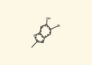 Cc1cc2cc(Br)c(O)cc2s1